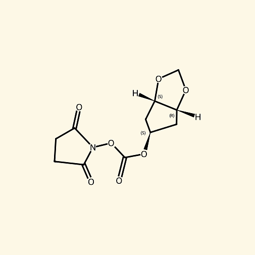 O=C(O[C@H]1C[C@@H]2OCO[C@@H]2C1)ON1C(=O)CCC1=O